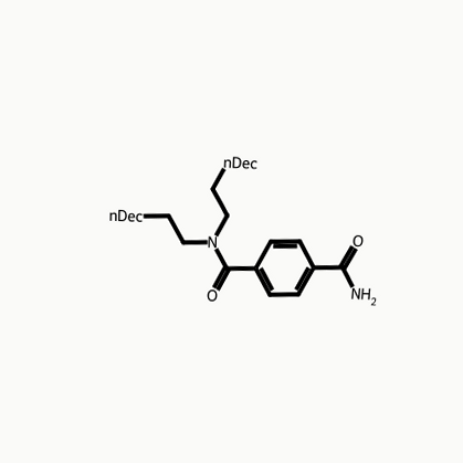 CCCCCCCCCCCCN(CCCCCCCCCCCC)C(=O)c1ccc(C(N)=O)cc1